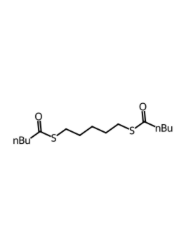 CCCCC(=O)SCCCCCSC(=O)CCCC